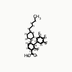 CCCCCC1CCC(c2ccc(C(=O)O)c(F)c2-c2cc(F)c(F)c(F)c2)CC1